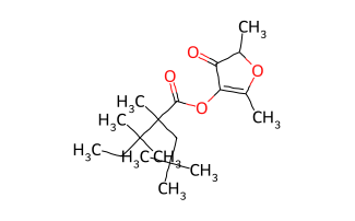 CCC(C)(C)C(C)(CC(C)(C)C)C(=O)OC1=C(C)OC(C)C1=O